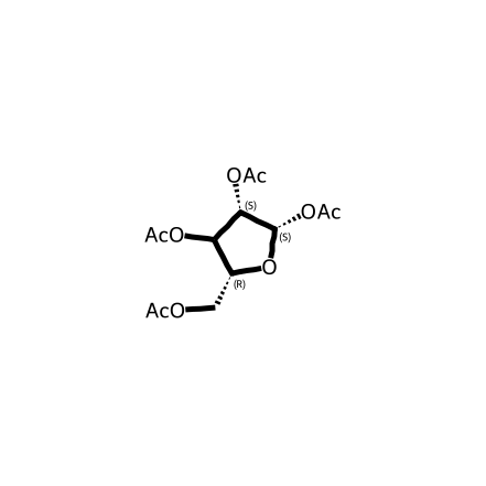 CC(=O)OC[C@H]1O[C@@H](OC(C)=O)[C@@H](OC(C)=O)C1OC(C)=O